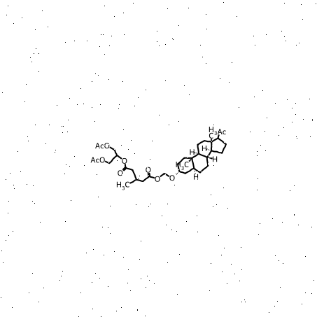 CC(=O)OCC(COC(C)=O)OC(=O)CC(C)CC(=O)OCO[C@@H]1CC[C@@]2(C)[C@@H](CC[C@@H]3[C@@H]2CC[C@]2(C)C(C(C)=O)CC[C@@H]32)C1